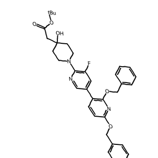 CC(C)(C)OC(=O)CC1(O)CCN(c2ncc(-c3ccc(OCc4ccccc4)nc3OCc3ccccc3)cc2F)CC1